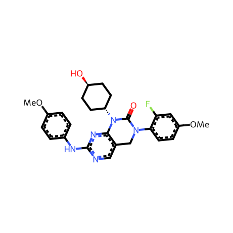 COc1ccc(Nc2ncc3c(n2)N([C@H]2CC[C@H](O)CC2)C(=O)N(c2ccc(OC)cc2F)C3)cc1